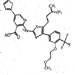 COCCOc1cc(-c2nc(Nc3ncc(-c4cccs4)cc3C(=O)O)sc2CCC(C)C)ccc1C(F)(F)F